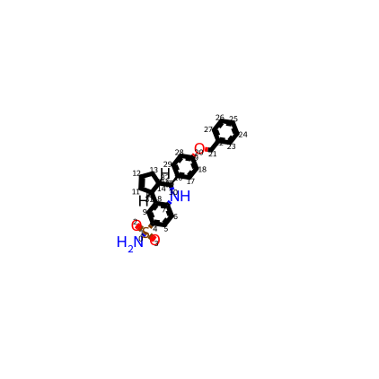 NS(=O)(=O)c1ccc2c(c1)[C@H]1C=CC[C@H]1[C@@H](c1ccc(OCc3ccccc3)cc1)N2